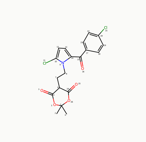 CC1(C)OC(=O)C(CCn2c(Cl)ccc2C(=O)c2ccc(Cl)cc2)C(=O)O1